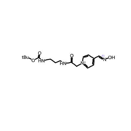 CC(C)(C)OC(=O)NCCCNC(=O)C[n+]1ccc(/C=N/O)cc1